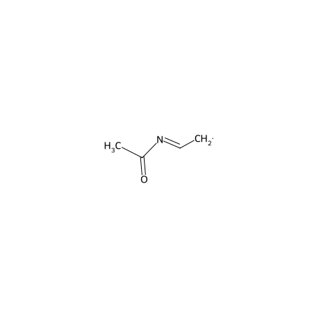 [CH2]/C=N/C(C)=O